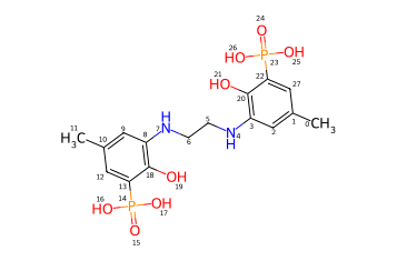 Cc1cc(NCCNc2cc(C)cc(P(=O)(O)O)c2O)c(O)c(P(=O)(O)O)c1